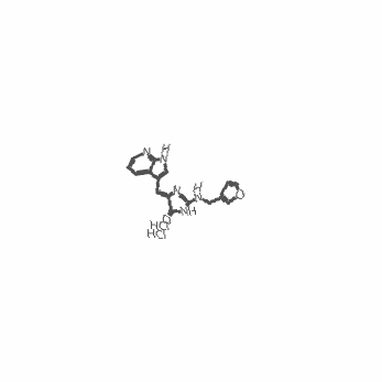 Cl.Cl.O=C1NC(NCc2ccoc2)=N/C1=C\c1c[nH]c2ncccc12